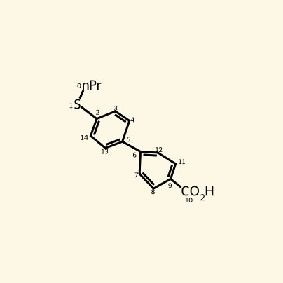 CCCSc1ccc(-c2ccc(C(=O)O)cc2)cc1